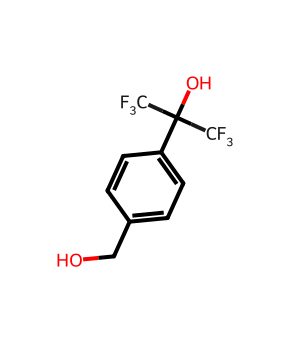 OCc1ccc(C(O)(C(F)(F)F)C(F)(F)F)cc1